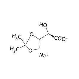 CC1(C)OC[C@@H]([C@@H](O)C(=O)[O-])O1.[Na+]